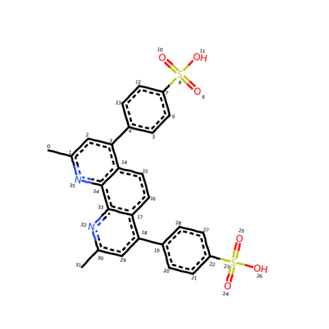 Cc1cc(-c2ccc(S(=O)(=O)O)cc2)c2ccc3c(-c4ccc(S(=O)(=O)O)cc4)cc(C)nc3c2n1